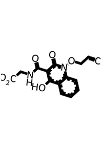 C=CCOn1c(=O)c(C(=O)NCC(=O)O)c(O)c2ccccc21